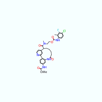 COC(=O)Nc1ccc2c(c1)NC(=O)CCCCC(C(=O)N(C)CCOC(=O)Nc1ccc(Cl)c(F)c1C)c1ccnc-2c1